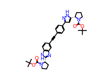 CC(C)(C)OC(=O)N1CCC[C@H]1c1cc(-c2ccc(C#Cc3ccc4[nH]c([C@@H]5CCCN5C(=O)OC(C)(C)C)nc4c3)cc2)n[nH]1